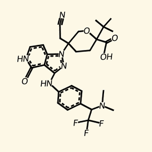 CN(C)C(c1ccc(Nc2nn(C3(CC#N)CCC(C(=O)O)(C(C)(C)C)OC3)c3cc[nH]c(=O)c23)cc1)C(F)(F)F